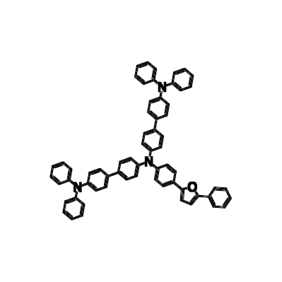 c1ccc(-c2ccc(-c3ccc(N(c4ccc(-c5ccc(N(c6ccccc6)c6ccccc6)cc5)cc4)c4ccc(-c5ccc(N(c6ccccc6)c6ccccc6)cc5)cc4)cc3)o2)cc1